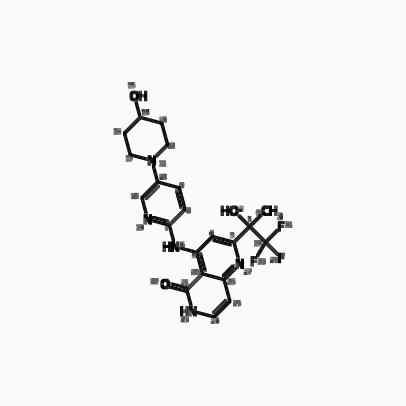 CC(O)(c1cc(Nc2ccc(N3CCC(O)CC3)cn2)c2c(=O)[nH]ccc2n1)C(F)(F)F